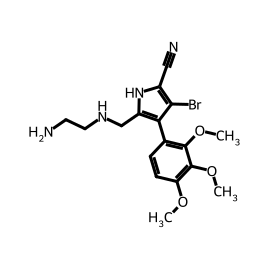 COc1ccc(-c2c(CNCCN)[nH]c(C#N)c2Br)c(OC)c1OC